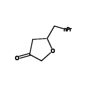 CCCCC1CC(=O)CO1